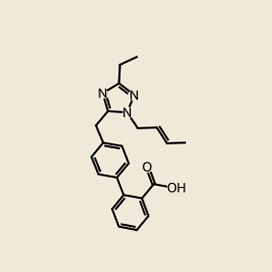 CC=CCn1nc(CC)nc1Cc1ccc(-c2ccccc2C(=O)O)cc1